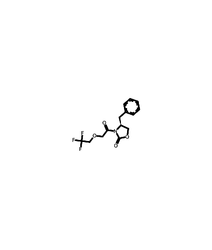 O=C(COCC(F)(F)F)N1C(=O)OC[C@@H]1Cc1ccccc1